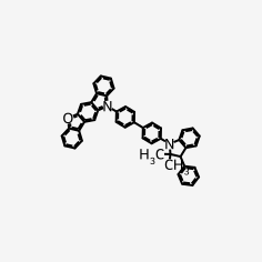 CC1(C)C(c2ccccc2)c2ccccc2N1c1ccc(-c2ccc(-n3c4ccccc4c4cc5oc6ccccc6c5cc43)cc2)cc1